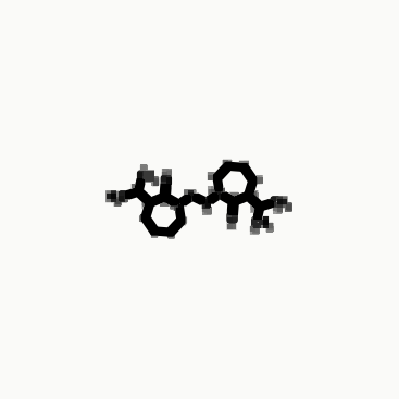 CC(C)C1CCCCN(SSN2CCCCC(C(C)C)C2=O)C1=O